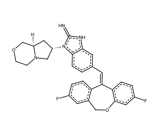 N=c1[nH]c2cc(/C=C3\c4ccc(F)cc4COc4cc(F)ccc43)ccc2n1[C@H]1C[C@@H]2COCCN2C1